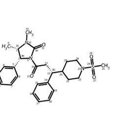 C[C@H]1[C@@H](c2ccccc2)N(C(=O)C[C@@H](c2ccccc2)C2CCN(S(C)(=O)=O)CC2)C(=O)N1C